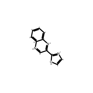 c1ccc2nc(-c3ncco3)cnc2c1